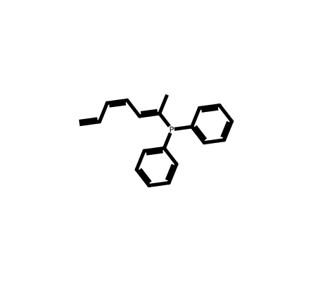 C=C/C=C\C=C(/C)P(c1ccccc1)c1ccccc1